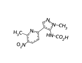 Cc1nc(-c2cnn(C)c2NC(=O)O)ccc1[N+](=O)[O-]